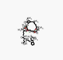 CNN(C)Cc1cc2ccccc2n1CCC(=O)N[C@@H](CCC(=O)O)C(=O)NCCCC(=O)N(C)[C@@H](C)C(=O)O[C@H]1CC(=O)N(C)c2cc(cc(OC)c2Cl)C/C(C)=C/C=C/[C@@H](OC)[C@@]2(O)C[C@H](OC(=O)N2)C2(C)C[C@@]1(C)O2